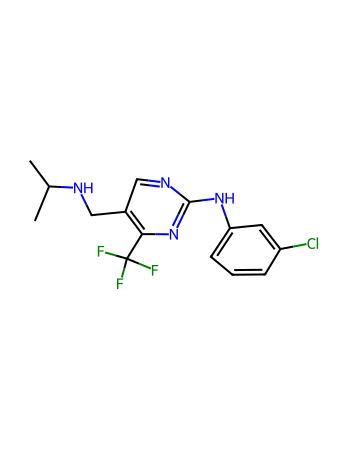 CC(C)NCc1cnc(Nc2cccc(Cl)c2)nc1C(F)(F)F